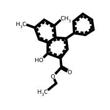 CCOC(=O)c1cc(-c2ccccc2)c2c(C)cc(C)cc2c1O